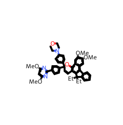 CCC1(CC)c2ccccc2-c2c1c1c(c3cc(OC)c(OC)cc23)OC(c2ccc(-c3nc(OC)cc(OC)n3)cc2)(c2ccc(N3CCOCC3)cc2)C=C1